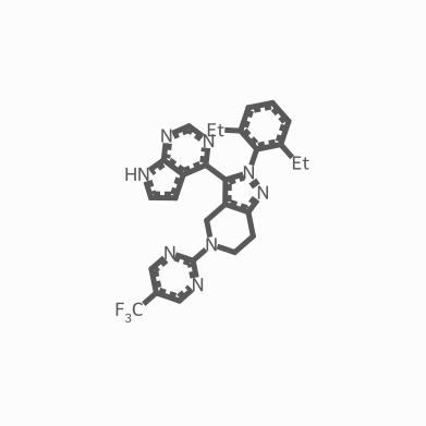 CCc1cccc(CC)c1-n1nc2c(c1-c1ncnc3[nH]ccc13)CN(c1ncc(C(F)(F)F)cn1)CC2